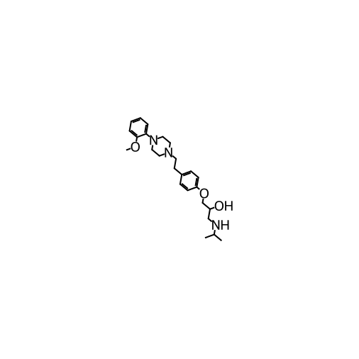 COc1ccccc1N1CCN(CCc2ccc(OCC(O)CNC(C)C)cc2)CC1